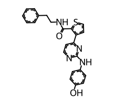 O=C(NCCc1ccccc1)c1sccc1-c1ccnc(Nc2ccc(O)cc2)n1